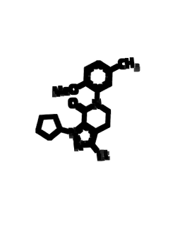 CCc1nn(C2CCCC2)c2c1CCN(c1cc(C)ccc1OC)C2=O